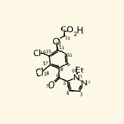 CCn1nccc1C(=O)c1ccc(OCC(=O)O)c(Cl)c1Cl